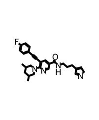 CC1CC(C)CN(c2ncc(C(=O)NCCCC3=CCN=C3)cc2C#Cc2ccc(F)cc2)C1